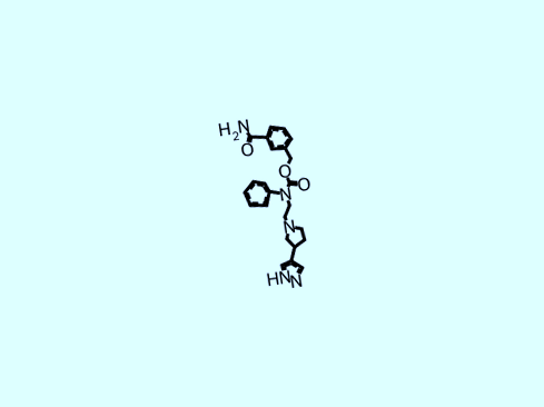 NC(=O)c1cccc(COC(=O)N(CCN2CCC(c3cn[nH]c3)C2)c2ccccc2)c1